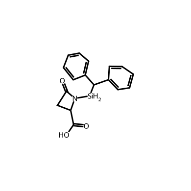 O=C(O)C1CC(=O)N1[SiH2]C(c1ccccc1)c1ccccc1